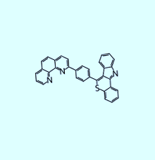 c1cnc2c(c1)ccc1ccc(-c3ccc(-c4sc5ccccc5c5nc6ccccc6c4-5)cc3)nc12